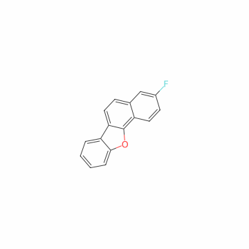 Fc1ccc2c(ccc3c4ccccc4oc23)c1